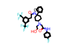 CN(C(=O)Cc1cc(C(F)(F)F)cc(C(F)(F)F)c1)[C@]1(c2ccccc2)CC[C@@H](N(CCO)CC(=O)Nc2ccc(F)cc2)CC1